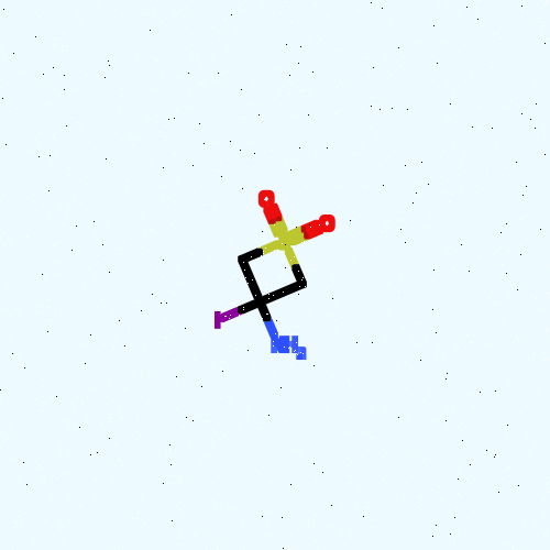 NC1(I)CS(=O)(=O)C1